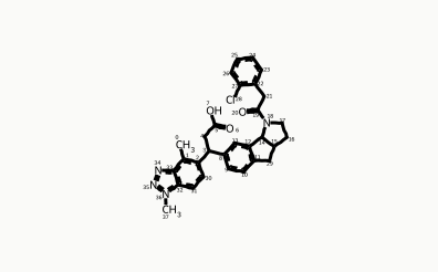 Cc1c(C(CC(=O)O)c2ccc3c(c2)C2C(CCN2C(=O)Cc2ccccc2Cl)C3)ccc2c1nnn2C